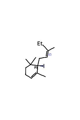 CC/C(C)=C\C[C@]1(I)C(C)=CCCC1(C)C